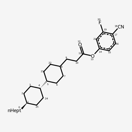 CCCCCCC[C@H]1CC[C@H](C2CCC(CCC(=O)Oc3ccc(C#N)c(F)c3)CC2)CC1